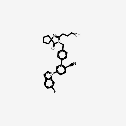 CCCCC1=NC2(CCCC2)C(=O)N1Cc1ccc(-c2cc(-n3ccc4ccc(F)cc43)ccc2C#N)cc1